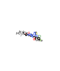 COC(=O)C1=C(CN2CCN3C(=O)N(c4ccc(CC(C)(C)C(=O)O)cc4)CC3C2)NC(c2nccs2)=NC1c1ccc(F)cc1Cl